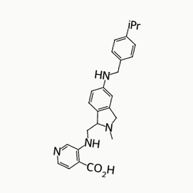 CC(C)c1ccc(CNc2ccc3c(c2)CN(C)C3CNc2cnccc2C(=O)O)cc1